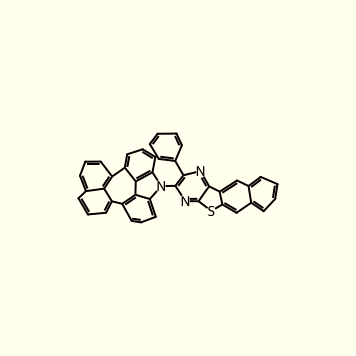 c1ccc(-c2nc3c(nc2-n2c4cccc5c4c4c(cccc42)-c2cccc4cccc-5c24)sc2cc4ccccc4cc23)cc1